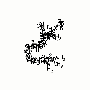 CCCN(CCC)C(=O)C1=Cc2ccc(C(=O)Nc3cnc4c(c3)CN(Cc3ccc(C(=O)NCC(F)(F)CNC(=O)OCc5ccc(NC(=O)[C@H](CCCNC(N)=O)NC(=O)[C@@H](NC(=O)CCCCCN6C(=O)CCC6=O)C(C)C)cc5)cc3)CC4)cc2N=C(N)C1